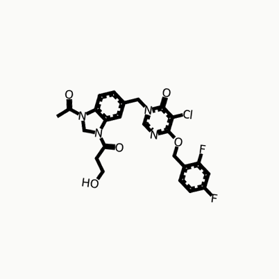 CC(=O)N1CN(C(=O)CCO)c2cc(Cn3cnc(OCc4ccc(F)cc4F)c(Cl)c3=O)ccc21